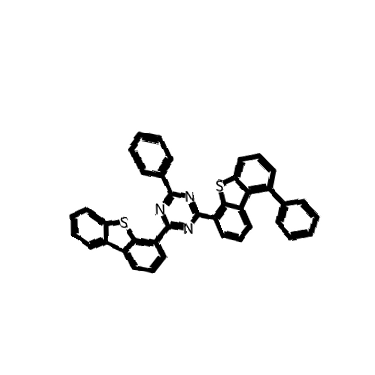 c1ccc(-c2nc(-c3cccc4c3sc3ccccc34)nc(-c3cccc4c3sc3cccc(-c5ccccc5)c34)n2)cc1